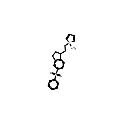 C[N+]1(CCC2CCc3cc(S(=O)(=O)c4ccccc4)ccc32)C=CC=C1